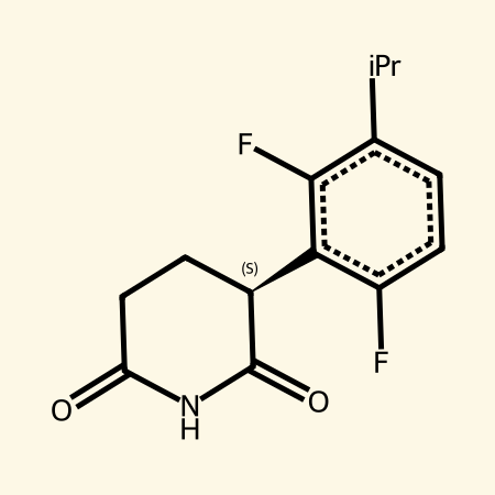 CC(C)c1ccc(F)c([C@@H]2CCC(=O)NC2=O)c1F